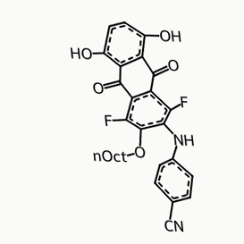 CCCCCCCCOc1c(F)c2c(c(F)c1Nc1ccc(C#N)cc1)C(=O)c1c(O)ccc(O)c1C2=O